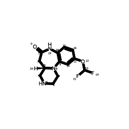 O=C1C[C@H]2CNCCN2c2cc(OC(F)F)ccc2N1